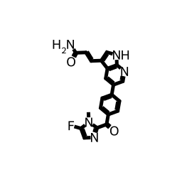 Cn1c(F)cnc1C(=O)c1ccc(-c2cnc3[nH]cc(C=CC(N)=O)c3c2)cc1